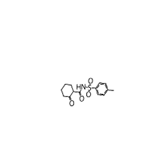 Cc1ccc(S(=O)(=O)NC(=O)C2CCCCC2=O)cc1